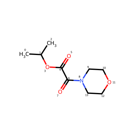 CC(C)OC(=O)C(=O)N1CCOCC1